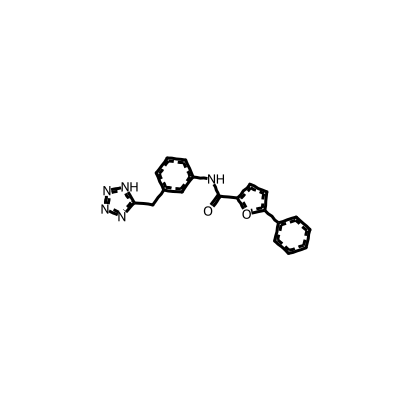 O=C(Nc1cccc(Cc2nnn[nH]2)c1)c1ccc(-c2ccccc2)o1